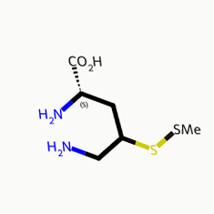 CSSC(CN)C[C@H](N)C(=O)O